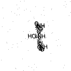 Cc1ccc(OCCNCCCc2ccc(NS(C)(=O)=O)cc2)c2c1NC(=O)CC2.Cl